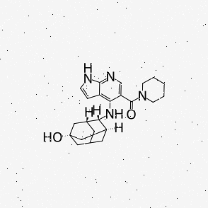 O=C(c1cnc2[nH]ccc2c1N[C@H]1[C@@H]2CC3C[C@H]1C[C@@](O)(C3)C2)N1CCCCC1